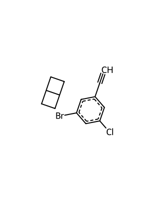 C#Cc1cc(Cl)cc(Br)c1.C1CC2CCC12